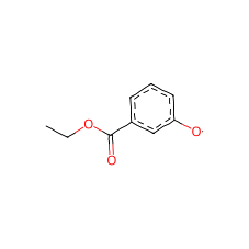 CCOC(=O)c1cccc([O])c1